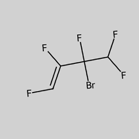 FC=C(F)C(F)(Br)C(F)F